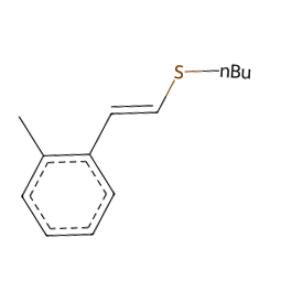 CCCCS/C=C/c1ccccc1C